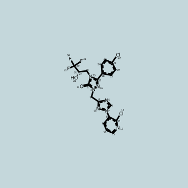 O=c1n(Cc2ncn(-c3cccnc3Cl)n2)nc(-c2ccc(Cl)cc2)n1C[C@H](O)C(F)(F)F